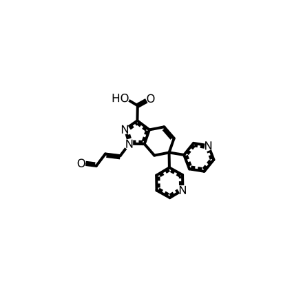 O=CC=Cn1nc(C(=O)O)c2c1CC(c1cccnc1)(c1cccnc1)C=C2